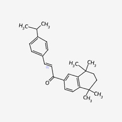 CC(C)c1ccc(/C=C/C(=O)c2ccc3c(c2)C(C)(C)CCC3(C)C)cc1